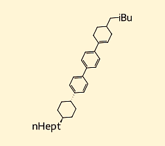 CCCCCCC[C@H]1CC[C@H](c2ccc(-c3ccc(C4=CCC(CC(C)CC)CC4)cc3)cc2)CC1